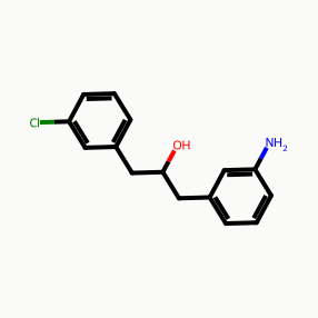 Nc1cccc(CC(O)Cc2cccc(Cl)c2)c1